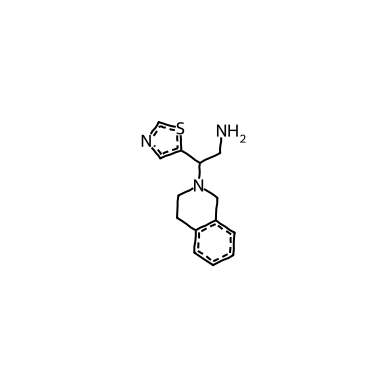 NCC(c1cncs1)N1CCc2ccccc2C1